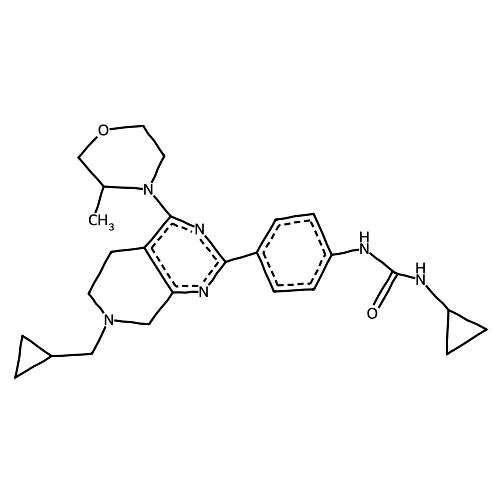 CC1COCCN1c1nc(-c2ccc(NC(=O)NC3CC3)cc2)nc2c1CCN(CC1CC1)C2